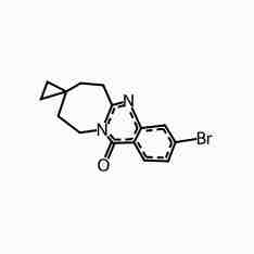 O=c1c2ccc(Br)cc2nc2n1CCC1(CC2)CC1